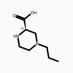 [CH2]CCN1CCN[C@@H](C(=O)O)C1